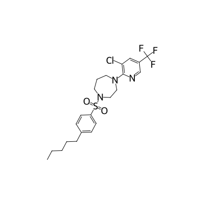 CCCCCc1ccc(S(=O)(=O)N2CCCN(c3ncc(C(F)(F)F)cc3Cl)CC2)cc1